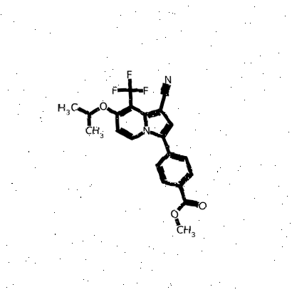 COC(=O)c1ccc(-c2cc(C#N)c3c(C(F)(F)F)c(OC(C)C)ccn23)cc1